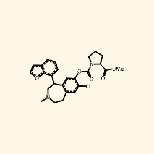 COC(=O)[C@@H]1CCCN1C(=O)Oc1cc2c(cc1Cl)CCN(C)CC2c1cccc2ccoc12